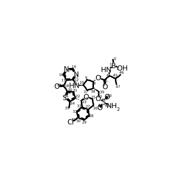 CB(O)N[C@H](C(=O)O[C@H]1C[C@H](Nc2ncncc2C(=O)c2cc([C@@H]3OCCc4ccc(Cl)cc43)c(C)s2)C[C@@H]1COS(N)(=O)=O)C(C)C